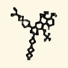 C=CC(=O)N1CC2(CCN(c3nc(N4CC(N5CC6(COC6)C5)C4)nc4c(OCC(F)(F)F)c(-c5c(C)ccc(N)c5C=N)c(C5CC5)cc34)CC2)C1